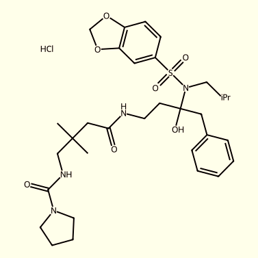 CC(C)CN(C(O)(CCNC(=O)CC(C)(C)CNC(=O)N1CCCC1)Cc1ccccc1)S(=O)(=O)c1ccc2c(c1)OCO2.Cl